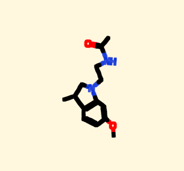 COc1ccc2c(c1)N(CCNC(C)=O)CC2C